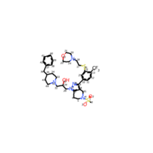 CS(=O)(=O)N1CCc2c(c(-c3ccc(C(F)(F)F)c(SCCN4CCOCC4)c3)nn2CC(O)CN2CCC(Cc3ccccc3)CC2)C1